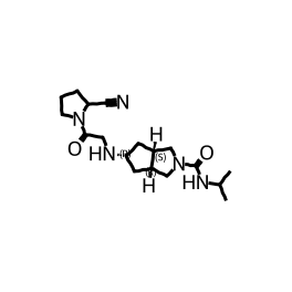 CC(C)NC(=O)N1C[C@H]2C[C@@H](NCC(=O)N3CCCC3C#N)C[C@H]2C1